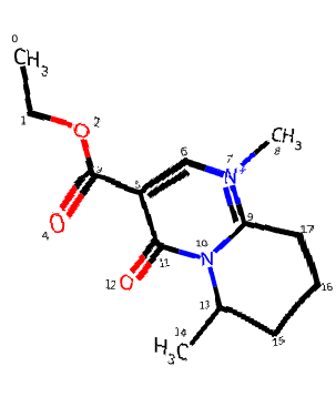 CCOC(=O)c1c[n+](C)c2n(c1=O)C(C)CCC2